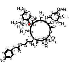 CC[C@H]1OC(=O)[C@H](C)[C@@H](O[C@@H](CCOC)O[C@@H](C)[C@@H](C)O)[C@H](C)[C@@H](O[C@@H]2O[C@H](C)C[C@H](N(C)C)[C@H]2O)[C@](C)(O)C[C@@H](C)CN(CCCNC(=O)Nc2ccc(C#N)cc2)[C@H](C)[C@@H](O)[C@]1(C)O